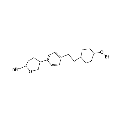 CCCC1CCC(c2ccc(CCC3CCC(OCC)CC3)cc2)CO1